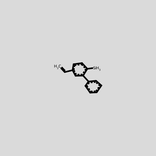 C=Cc1ccc([SiH3])c(-c2ccccc2)c1